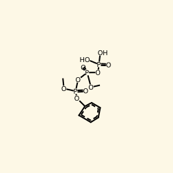 COP(=O)(Oc1ccccc1)OP(=O)(OC)OP(=O)(O)O